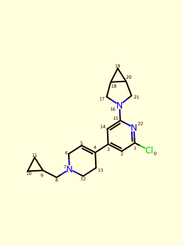 Clc1cc(C2=CCN(CC3CC3)CC2)cc(N2CC3CC3C2)n1